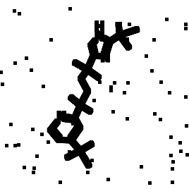 CC(C)(C)c1ccnc(C(C)(C)CCC(C)(C)c2c[nH]c(C(C)(C)C)n2)c1